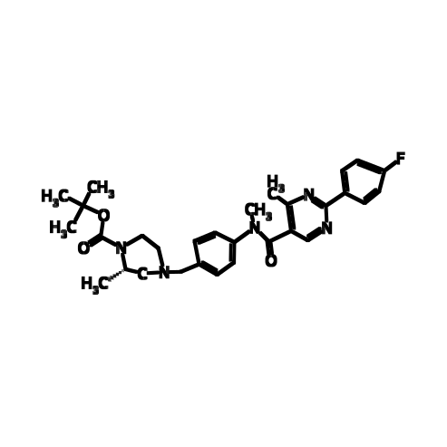 Cc1nc(-c2ccc(F)cc2)ncc1C(=O)N(C)c1ccc(CN2CCN(C(=O)OC(C)(C)C)[C@@H](C)C2)cc1